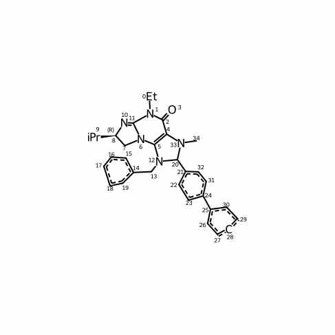 CCN1C(=O)C2=C(N3C[C@@H](C(C)C)N=C13)N(Cc1ccccc1)C(c1ccc(-c3ccccc3)cc1)N2C